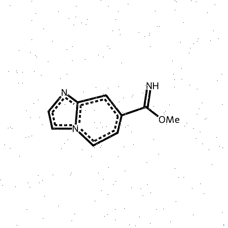 COC(=N)c1ccn2ccnc2c1